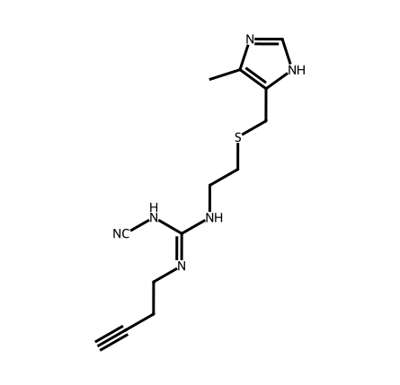 C#CCC/N=C(\NC#N)NCCSCc1[nH]cnc1C